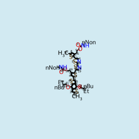 CCCCCCCCCNC(=O)OCCc1cc(C)sc1-c1cnc(-c2ncc(-c3sc(-c4cc5c(OCC(CC)CCCC)c6sc(C)cc6c(OCC(CC)CCCC)c5s4)cc3CCOC(=O)NCCCCCCCCC)s2)s1